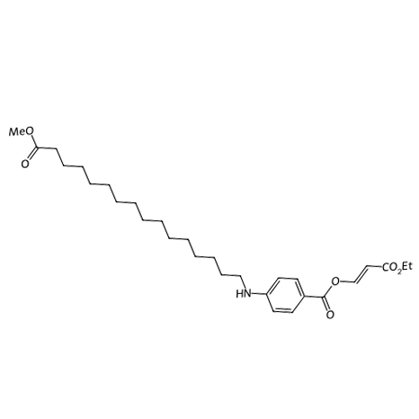 CCOC(=O)C=COC(=O)c1ccc(NCCCCCCCCCCCCCCCC(=O)OC)cc1